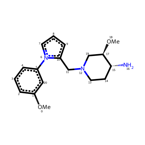 COc1cccc(-n2cccc2CN2CC[C@@H](N)[C@H](OC)C2)c1